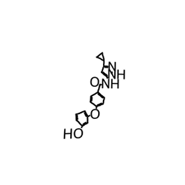 O=C(Nc1cc(C2CC2)n[nH]1)c1ccc(Oc2cccc(O)c2)cc1